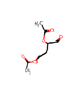 CC(=O)OCCC(C=O)OC(C)=O